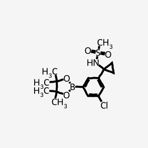 CC1(C)OB(c2cc(Cl)cc(C3(NS(C)(=O)=O)CC3)c2)OC1(C)C